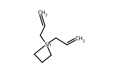 C=C[CH2][Sn]1([CH2]C=C)[CH2]C[CH2]1